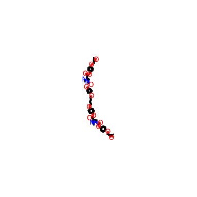 O=C(Oc1ccc(OCC2CO2)cc1)c1cn(C(=O)Oc2ccc(OCCCCOc3ccc(OC(=O)c4cn(C(=O)Oc5ccc(OCC6CO6)cc5)cn4)cc3)cc2)cn1